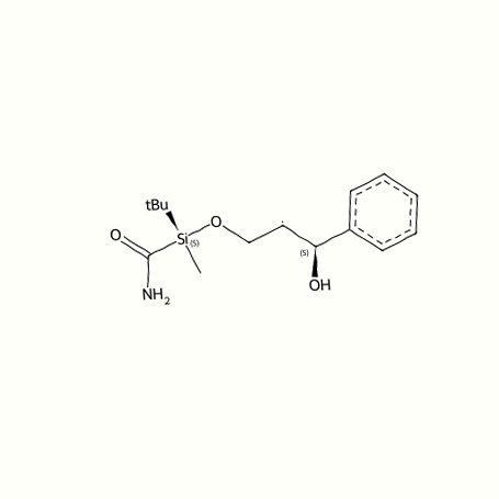 CC(C)(C)[Si@](C)(OC[CH][C@H](O)c1ccccc1)C(N)=O